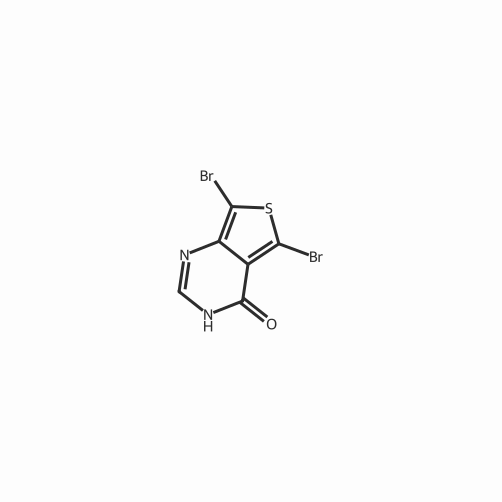 O=c1[nH]cnc2c(Br)sc(Br)c12